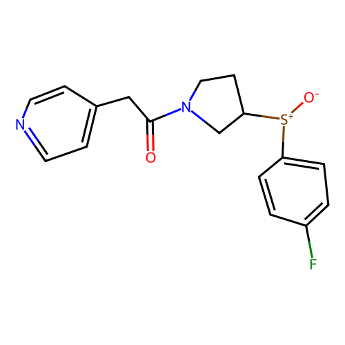 O=C(Cc1ccncc1)N1CCC([S+]([O-])c2ccc(F)cc2)C1